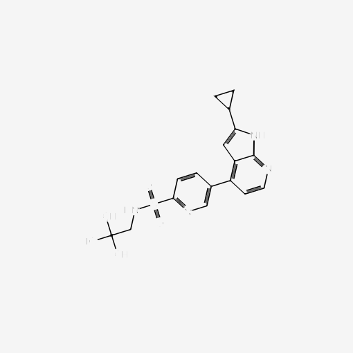 CC(C)(O)CNS(=O)(=O)c1ccc(-c2ccnc3[nH]c(C4CC4)cc23)cn1